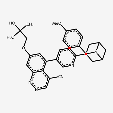 COc1ccc(CN2C3CC2CN(c2ccc(-c4cc(OCC(C)(C)O)cc5nncc(C#N)c45)cn2)C3)cc1